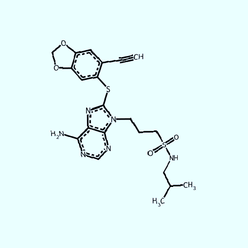 C#Cc1cc2c(cc1Sc1nc3c(N)ncnc3n1CCCS(=O)(=O)NCC(C)C)OCO2